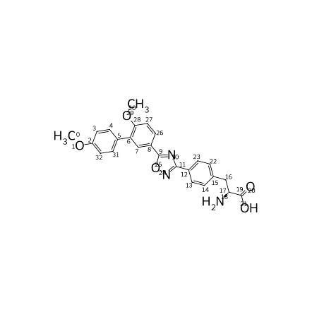 COc1ccc(-c2cc(-c3nc(-c4ccc(C[C@H](N)C(=O)O)cc4)no3)ccc2OC)cc1